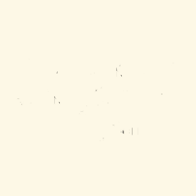 Cn1c2c(c3cccc(Br)c31)CC1CN(Cc3ccccc3)CCC1(c1cccc(O)c1)C2